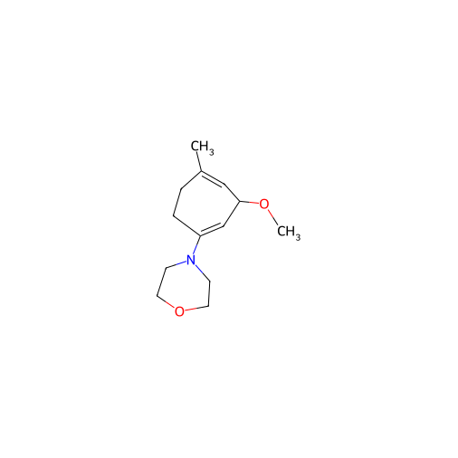 COC1C=C(C)CCC(N2CCOCC2)=C1